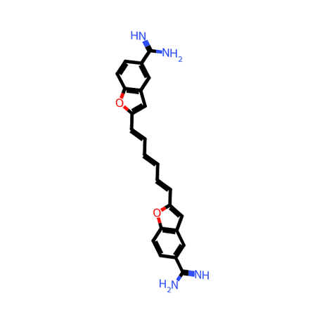 N=C(N)c1ccc2oc(/C=C/C=C/C=C/c3cc4cc(C(=N)N)ccc4o3)cc2c1